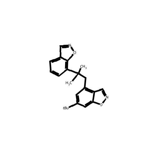 CC(C)(C)c1cc(CC(C)(C)c2cccc3cnoc23)c2cnoc2c1